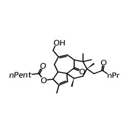 CCCCCC(=O)OC1C(C)=CC23C(=O)C(C=C(CO)CC12)C(C)(C)[C@](C)(CC(=O)CCC)C[C@H]3C